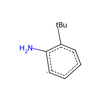 CC(C)(C)c1ccc[c]c1N